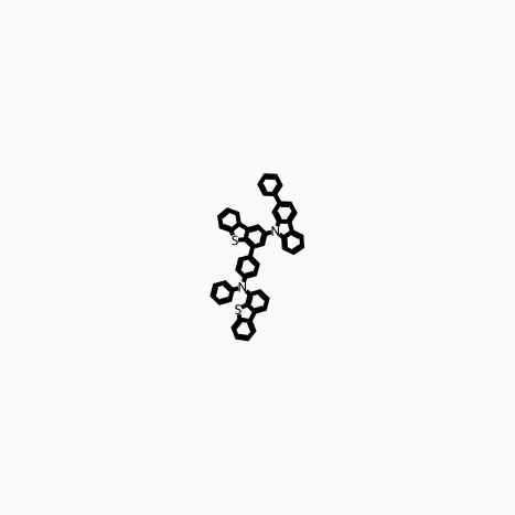 C1=CCC2C(=C1)Sc1c(-c3ccc(N(c4ccccc4)c4cccc5c4sc4ccccc45)cc3)cc(-n3c4ccccc4c4ccc(-c5ccccc5)cc43)cc12